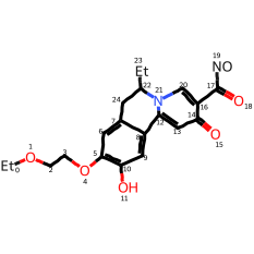 CCOCCOc1cc2c(cc1O)-c1cc(=O)c(C(=O)N=O)cn1C(CC)C2